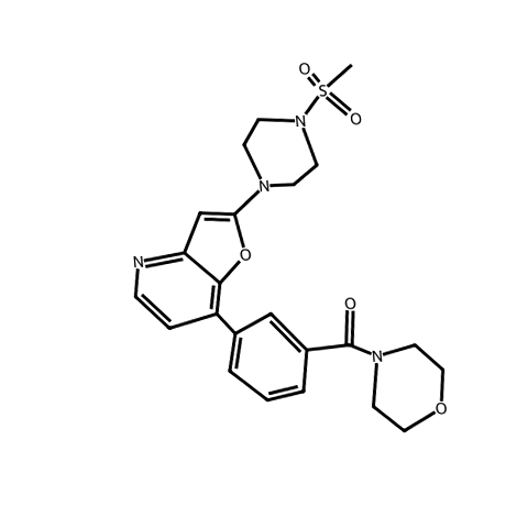 CS(=O)(=O)N1CCN(c2cc3nccc(-c4cccc(C(=O)N5CCOCC5)c4)c3o2)CC1